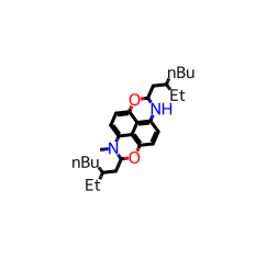 CCCCC(CC)CC1Nc2ccc3c4c(ccc(c24)O1)N(C)C(CC(CC)CCCC)O3